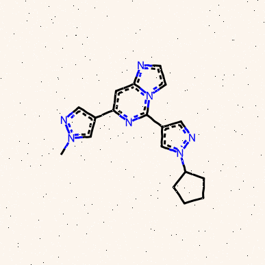 Cn1cc(-c2cc3nccn3c(-c3cnn(C4CCCC4)c3)n2)cn1